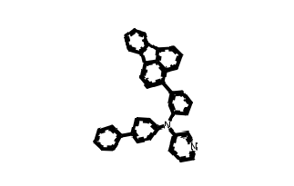 c1ccc(-c2ccc(N(c3cccnc3)c3cccc(-c4ccc5c6c(cccc46)-c4ccccc4-5)c3)cc2)cc1